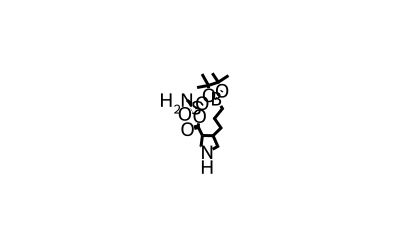 CC1(C)OB(CCCC2CNCC2C(=O)OS(N)(=O)=O)OC1(C)C